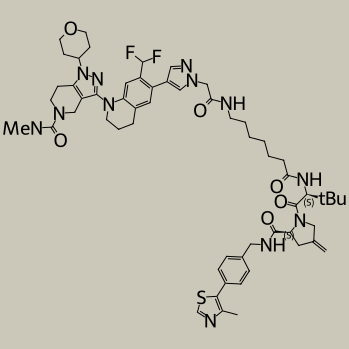 C=C1C[C@@H](C(=O)NCc2ccc(-c3scnc3C)cc2)N(C(=O)[C@@H](NC(=O)CCCCCCNC(=O)Cn2cc(-c3cc4c(cc3C(F)F)N(c3nn(C5CCOCC5)c5c3CN(C(=O)NC)CC5)CCC4)cn2)C(C)(C)C)C1